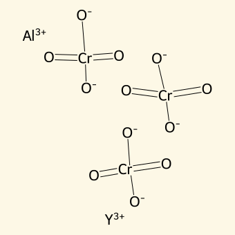 [Al+3].[O]=[Cr](=[O])([O-])[O-].[O]=[Cr](=[O])([O-])[O-].[O]=[Cr](=[O])([O-])[O-].[Y+3]